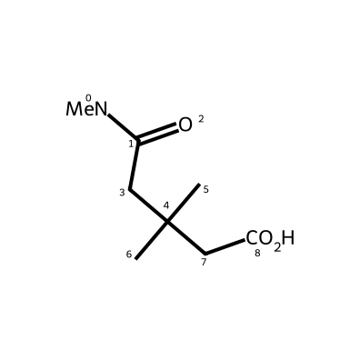 CNC(=O)CC(C)(C)CC(=O)O